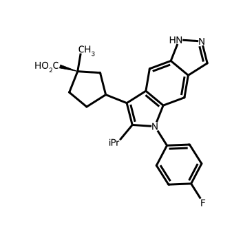 CC(C)c1c(C2CC[C@@](C)(C(=O)O)C2)c2cc3[nH]ncc3cc2n1-c1ccc(F)cc1